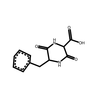 O=C1NC(C(=O)O)C(=O)NC1Cc1ccccc1